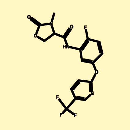 CN1C(=O)OCC1C(=O)Nc1cc(Oc2ccc(C(F)(F)F)cn2)ccc1F